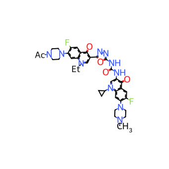 CCn1cc(-c2nnc(NC(=O)Nc3cn(C4CC4)c4cc(N5CCN(C)CC5)c(F)cc4c3=O)o2)c(=O)c2cc(F)c(N3CCN(C(C)=O)CC3)cc21